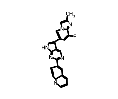 Cc1cn2cc(-c3c[nH]c4nc(-c5ccc6ncccc6c5)ncc34)cc(F)c2n1